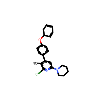 N#Cc1c(-c2ccc(OC3C=CC=CC3)cc2)cc(N2CCCCC2)nc1Cl